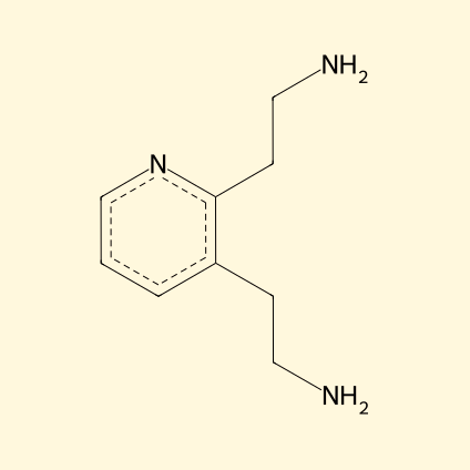 NCCc1cccnc1CCN